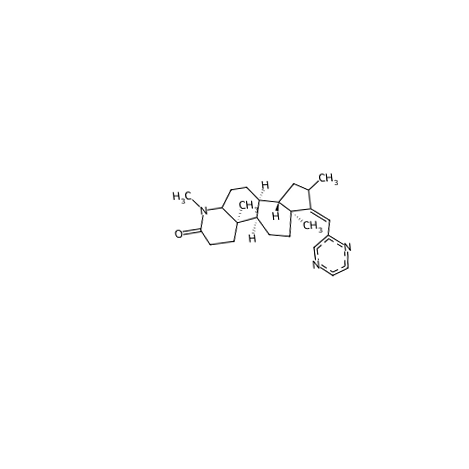 CC1C[C@H]2[C@@H]3CCC4N(C)C(=O)CC[C@]4(C)[C@@H]3CC[C@]2(C)C1=Cc1cnccn1